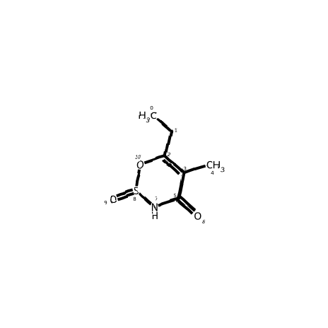 CCC1=C(C)C(=O)NS(=O)O1